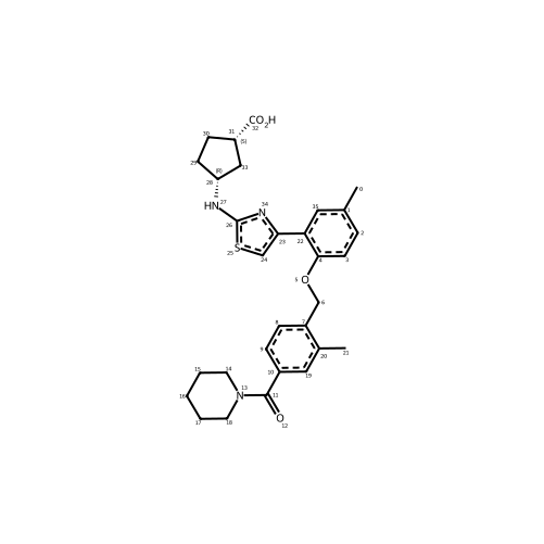 Cc1ccc(OCc2ccc(C(=O)N3CCCCC3)cc2C)c(-c2csc(N[C@@H]3CC[C@H](C(=O)O)C3)n2)c1